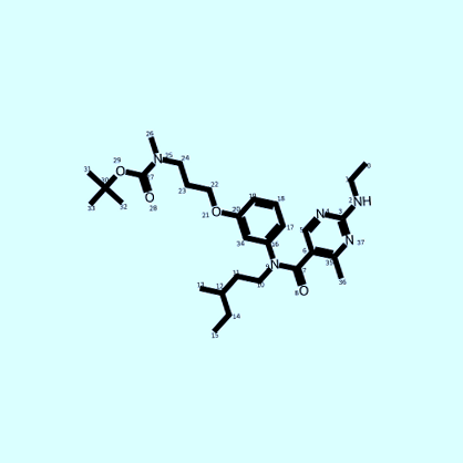 CCNc1ncc(C(=O)N(CCC(C)CC)c2cccc(OCCCN(C)C(=O)OC(C)(C)C)c2)c(C)n1